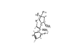 N[C@@](CF)(c1ccccc1F)[C@H]1CC(F)(F)C[C@H]1O